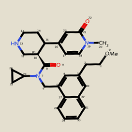 COCCc1cc(CN(C(=O)[C@H]2CNCCC2c2ccn(C)c(=O)c2)C2CC2)c2ccccc2c1